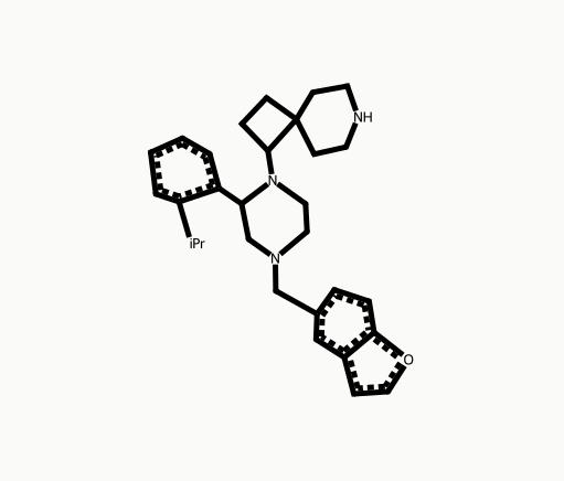 CC(C)c1ccccc1C1CN(Cc2ccc3occc3c2)CCN1C1CCC12CCNCC2